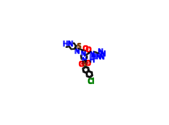 CC1Cc2nc(C(=O)N3CCN(S(=O)(=O)c4ccc5cc(Cl)ccc5c4)CC3C(=O)NCc3nnn[nH]3)sc2CN1